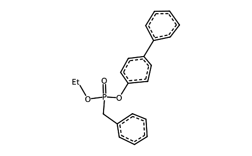 CCOP(=O)(Cc1ccccc1)Oc1ccc(-c2ccccc2)cc1